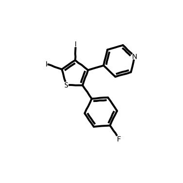 Fc1ccc(-c2sc(I)c(I)c2-c2ccncc2)cc1